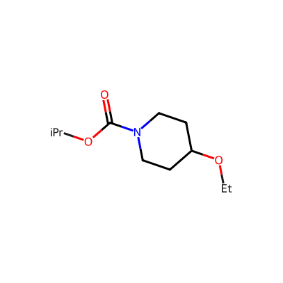 CCOC1CCN(C(=O)OC(C)C)CC1